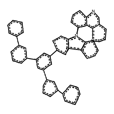 c1ccc(-c2cccc(-c3cc(-c4cccc(-c5ccccc5)c4)cc(-c4ccc5c(c4)c4ccccc4n5-c4cccc5ncc6cccnc6c45)c3)c2)cc1